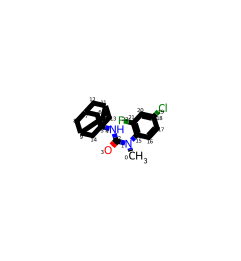 CN(C(=O)NC12CC3CC(CC(C3)C1)C2)c1ccc(Cl)cc1F